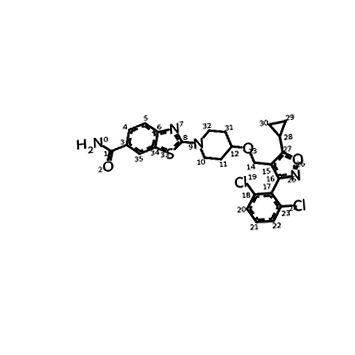 NC(=O)c1ccc2nc(N3CCC(OCc4c(-c5c(Cl)cccc5Cl)noc4C4CC4)CC3)sc2c1